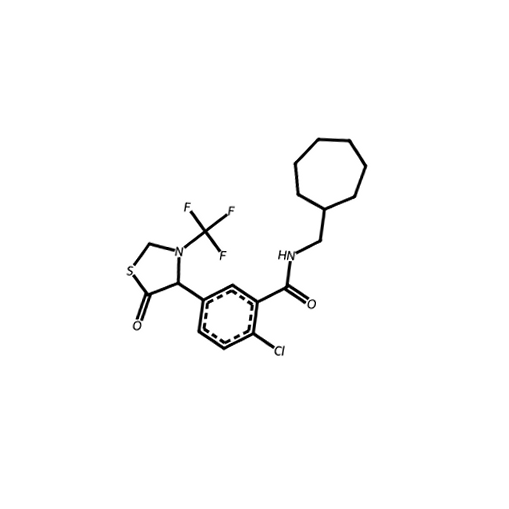 O=C(NCC1CCCCCC1)c1cc(C2C(=O)SCN2C(F)(F)F)ccc1Cl